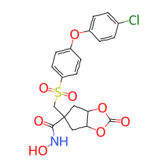 O=C1OC2CC(CS(=O)(=O)c3ccc(Oc4ccc(Cl)cc4)cc3)(C(=O)NO)CC2O1